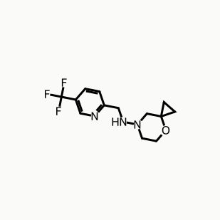 FC(F)(F)c1ccc(CNN2CCOC3(CC3)C2)nc1